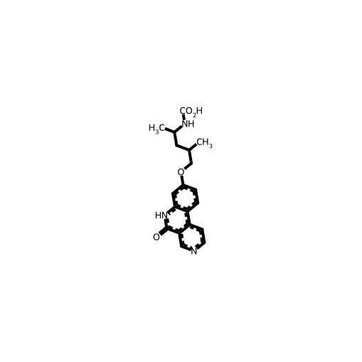 CC(COc1ccc2c(c1)[nH]c(=O)c1cnccc12)CC(C)NC(=O)O